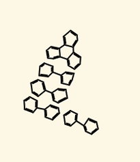 c1ccc(-c2ccccc2)cc1.c1ccc(-c2ccccc2)cc1.c1ccc(-c2ccccc2)cc1.c1ccc(-c2ccccc2)cc1.c1ccc2c(c1)c1ccccc1c1ccccc21